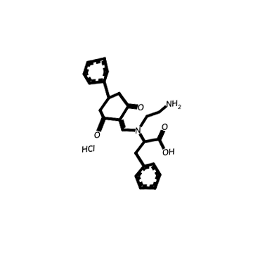 Cl.NCCN(C=C1C(=O)CC(c2ccccc2)CC1=O)C(Cc1ccccc1)C(=O)O